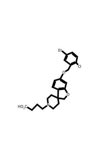 CCc1ccc(Cl)c(COc2ccc3c(c2)OCC32CCN(CCCC(=O)O)CC2)c1